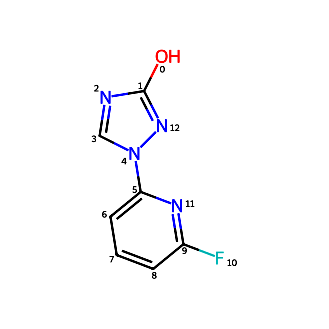 Oc1ncn(-c2cccc(F)n2)n1